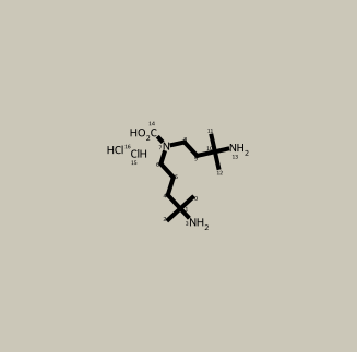 CC(C)(N)CCCN(CCC(C)(C)N)C(=O)O.Cl.Cl